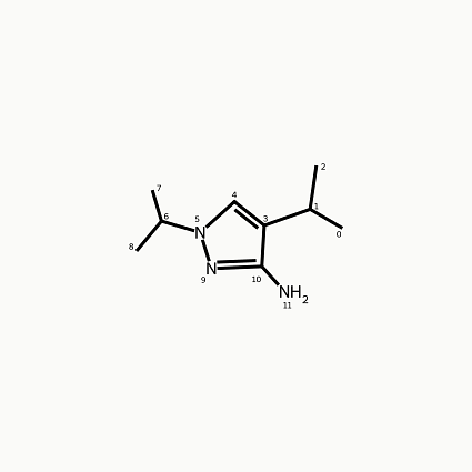 CC(C)c1cn(C(C)C)nc1N